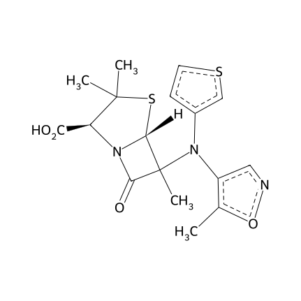 Cc1oncc1N(c1ccsc1)C1(C)C(=O)N2[C@@H](C(=O)O)C(C)(C)S[C@@H]21